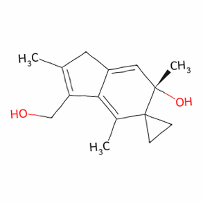 CC1=C(CO)C2=C(C)C3(CC3)[C@@](C)(O)C=C2C1